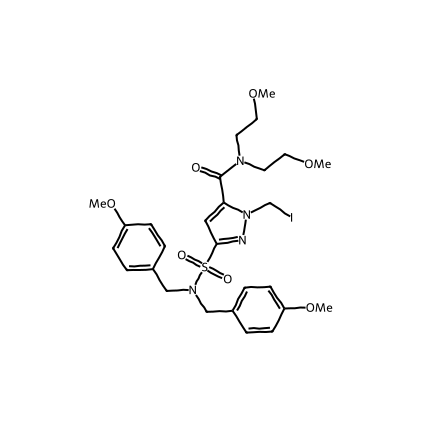 COCCN(CCOC)C(=O)c1cc(S(=O)(=O)N(Cc2ccc(OC)cc2)Cc2ccc(OC)cc2)nn1CI